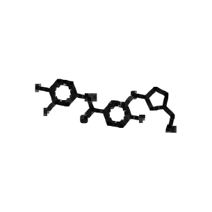 CC(=O)CC1CCC(Sc2cc(C(=O)Nc3ccc(F)c(F)c3)ccc2F)C1